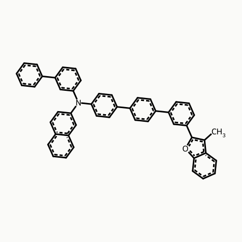 Cc1c(-c2cccc(-c3ccc(-c4ccc(N(c5cccc(-c6ccccc6)c5)c5ccc6ccccc6c5)cc4)cc3)c2)oc2ccccc12